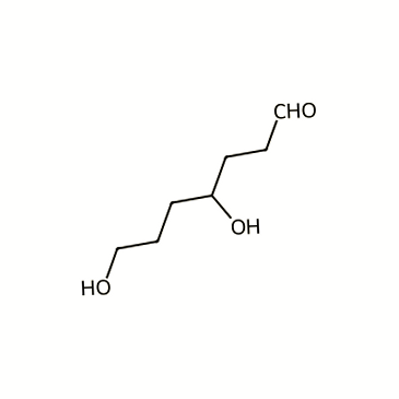 O=CCCC(O)CCCO